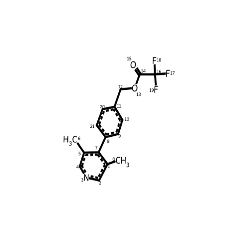 Cc1cncc(C)c1-c1ccc(COC(=O)C(F)(F)F)cc1